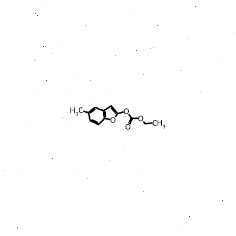 CCOC(=O)Oc1cc2cc(C)ccc2o1